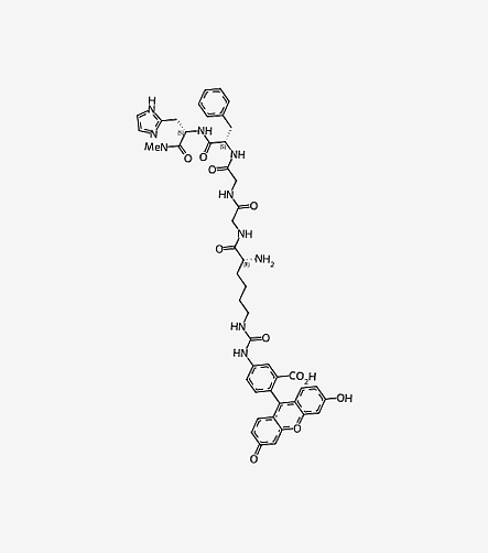 CNC(=O)[C@H](Cc1ncc[nH]1)NC(=O)[C@H](Cc1ccccc1)NC(=O)CNC(=O)CNC(=O)[C@H](N)CCCCNC(=O)Nc1ccc(-c2c3ccc(=O)cc-3oc3cc(O)ccc23)c(C(=O)O)c1